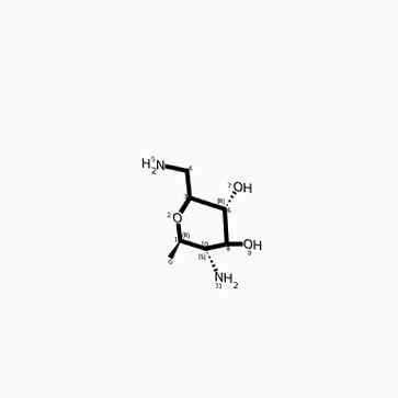 C[C@H]1OC(CN)[C@H](O)C(O)[C@@H]1N